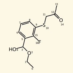 CCOC(O)c1cccc(SCC(C)=O)c1F